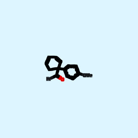 CCC(=O)C1(c2ccc(OC)cc2)C=CC=CC1